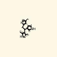 Cc1cc(CC(c2cc[nH]c2)c2c(C)n[nH]c2C)no1